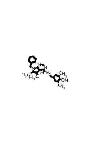 Cc1cc(C=NNc2ncnc3c2c(C)c(C)n3Cc2ccccc2)cc(C)c1O